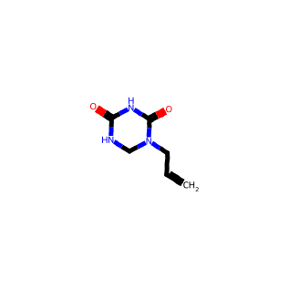 C=CCN1CNC(=O)NC1=O